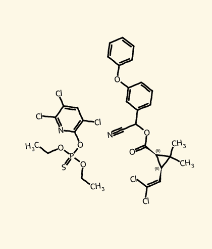 CC1(C)[C@H](C(=O)OC(C#N)c2cccc(Oc3ccccc3)c2)[C@@H]1C=C(Cl)Cl.CCOP(=S)(OCC)Oc1nc(Cl)c(Cl)cc1Cl